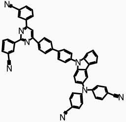 N#Cc1ccc(N(c2ccc(C#N)cc2)c2ccc3c(c2)c2ccccc2n3-c2ccc(-c3ccc(-c4cc(-c5cccc(C#N)c5)nc(-c5cccc(C#N)c5)n4)cc3)cc2)cc1